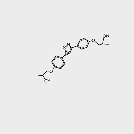 CC(O)COc1ccc(-c2cn(-c3ccc(OCC(C)O)cc3)nn2)cc1